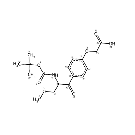 COCC(NC(=O)OC(C)(C)C)C(=O)c1ccc(OCC(=O)O)cc1